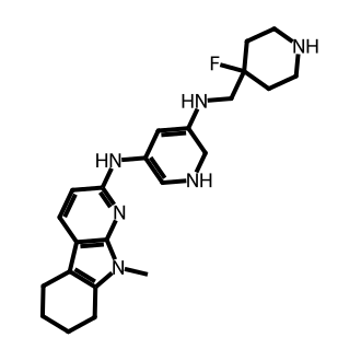 Cn1c2c(c3ccc(NC4=CNCC(NCC5(F)CCNCC5)=C4)nc31)CCCC2